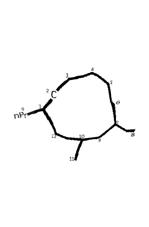 CCCC1CCCCCC(C)CC(C)C1